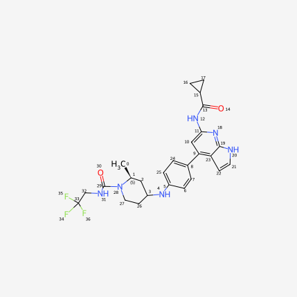 C[C@H]1CC(Nc2ccc(-c3cc(NC(=O)C4CC4)nc4[nH]ccc34)cc2)CCN1C(=O)NCC(F)(F)F